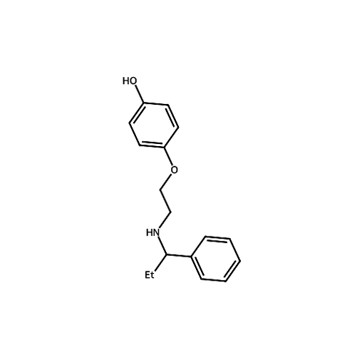 CCC(NCCOc1ccc(O)cc1)c1ccccc1